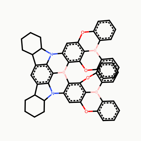 c1ccc2c(c1)Oc1cc3c(c4c1B2c1ccccc1O4)B1c2c(cc4c5c2Oc2ccccc2B5c2ccccc2O4)N2c4c(cc5c(c41)N3C1CCCCC51)C1CCCCC12